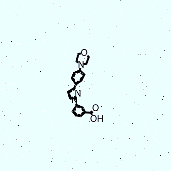 O=C(O)c1cccc(-n2ccc(-c3ccc(N4CCOCC4)cc3)n2)c1